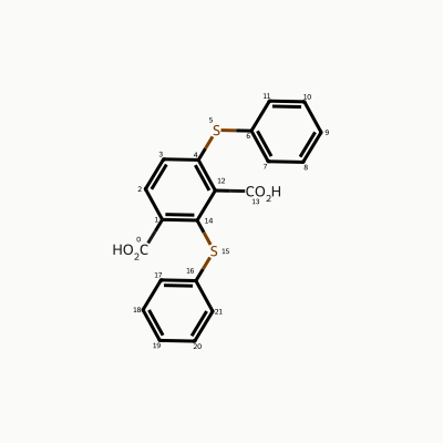 O=C(O)c1ccc(Sc2ccccc2)c(C(=O)O)c1Sc1ccccc1